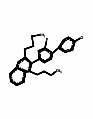 CCCCc1cc2ccccc2c(CCCC)c1-c1ccc(-c2ccc(Cl)cc2)c(F)c1